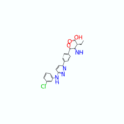 CC[C@@H](C(=N)C(=O)c1ccc(-c2ccc(Nc3cccc(Cl)c3)nn2)cc1)C(=O)O